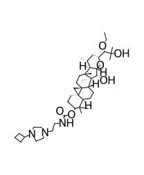 CCO[C@@H]([C@H]1C[C@@H](C)[C@H]2[C@H](O1)[C@H](O)[C@@]1(C)[C@@H]3CC[C@H]4C(C)(C)[C@@H](OC(=O)NCCN5CCN(C6CCC6)CC5)CC[C@@]45C[C@@]35CC[C@]21C)C(C)(C)O